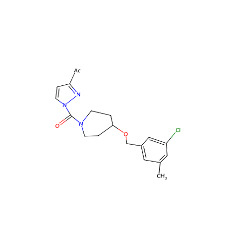 CC(=O)c1ccn(C(=O)N2CCC(OCc3cc(C)cc(Cl)c3)CC2)n1